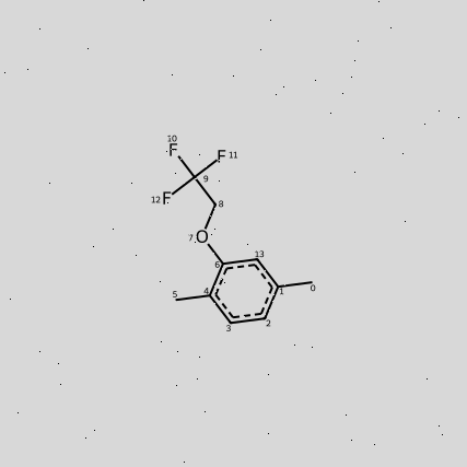 Cc1ccc(C)c(OCC(F)(F)F)c1